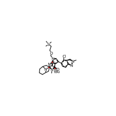 Cn1cc2c(Cl)c(-c3cn(COCC[Si](C)(C)C)c4nc(N5C6CCCC5CN(C(=O)OC(C)(C)C)C6)n(C)c(=O)c34)ccc2n1